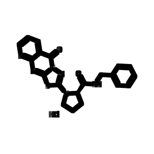 Cl.O=C(NCc1ccccc1)[C@H]1CCCN1c1nn2c(=O)c3cccnc3nc2s1